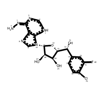 N/N=c1/nc[nH]c2c1ncn2[C@@H]1O[C@H]([C@H](O)c2ccc(Cl)c(F)c2)[C@@H](O)[C@H]1O